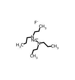 CCC[N](CCC)[Nd+][N](CCC)CCC.[F-]